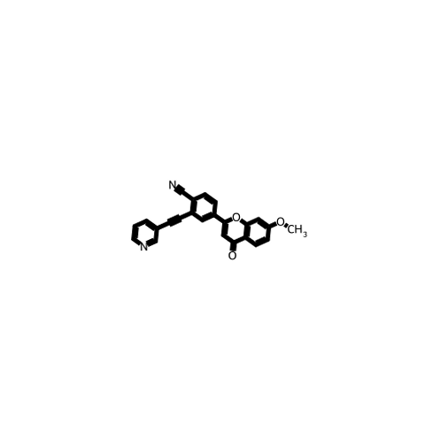 COc1ccc2c(=O)cc(-c3ccc(C#N)c(C#Cc4cccnc4)c3)oc2c1